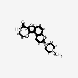 CN1CCN(c2ccc3c(ccc4sc5c(c43)OCCNC5=O)n2)CC1